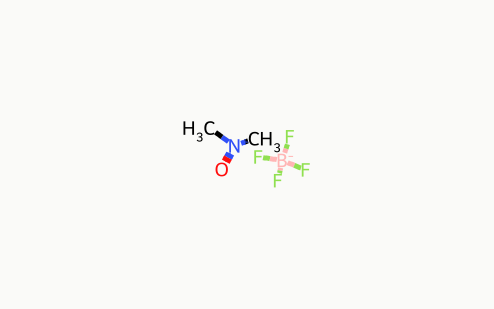 C[N+](C)=O.F[B-](F)(F)F